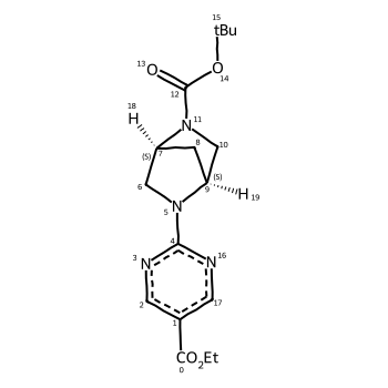 CCOC(=O)c1cnc(N2C[C@@H]3C[C@H]2CN3C(=O)OC(C)(C)C)nc1